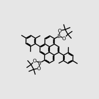 Cc1cc(C)c(-c2cc3c(B4OC(C)(C)C(C)(C)O4)ccc4c(-c5c(C)cc(C)cc5C)cc5c(B6OC(C)(C)C(C)(C)O6)ccc2c5c34)c(C)c1